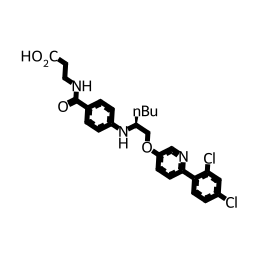 CCCC[C@@H](COc1ccc(-c2ccc(Cl)cc2Cl)nc1)Nc1ccc(C(=O)NCCC(=O)O)cc1